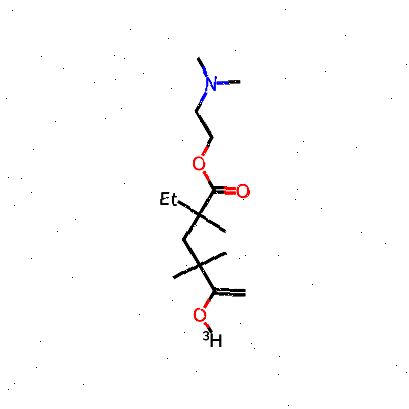 [3H]OC(=C)C(C)(C)CC(C)(CC)C(=O)OCCN(C)C